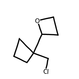 ClCC1(C2CCO2)CCC1